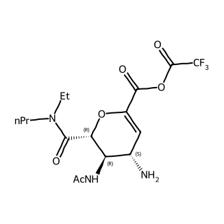 CCCN(CC)C(=O)[C@@H]1OC(C(=O)OC(=O)C(F)(F)F)=C[C@H](N)[C@H]1NC(C)=O